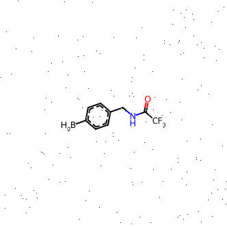 Bc1ccc(CNC(=O)C(F)(F)F)cc1